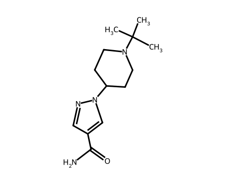 CC(C)(C)N1CCC(n2cc(C(N)=O)cn2)CC1